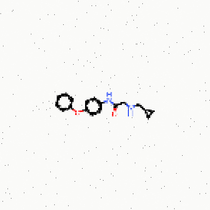 O=C(CNCC1CC1)Nc1ccc(Oc2ccccc2)cc1